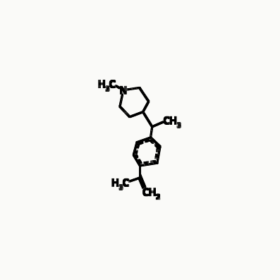 C=C(C)c1ccc(C(C)C2CCN(C)CC2)cc1